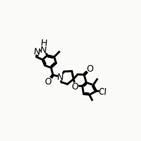 Cc1cc2c(c(C)c1Cl)C(=O)CC1(CCN(C(=O)c3cc(C)c4[nH]ncc4c3)CC1)O2